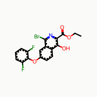 CCOC(=O)c1nc(Br)c2cc(Oc3c(F)cccc3F)ccc2c1O